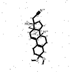 COC1(OC)CCC2=C(CC[C@@H]3C2=CC[C@@]2(C)[C@H]3CC[C@@]2(O)CC#N)C1